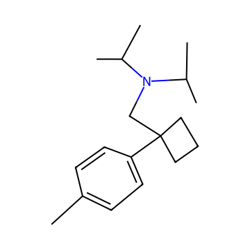 Cc1ccc(C2(CN(C(C)C)C(C)C)CCC2)cc1